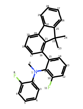 CN(c1ccccc1F)c1c(F)cccc1-c1cccc2c1C(C)(C)c1ccccc1-2